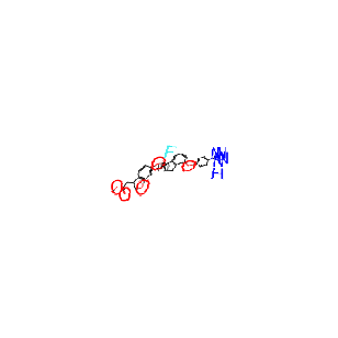 COC(=O)CC1COc2cc(O[C@@H]3CCc4c(Oc5ccc(-c6nnn[nH]6)cc5)ccc(F)c43)ccc21